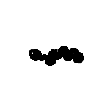 c1ccc2c(c1)ccc1c3cccc(Cn4ncc5c4CCCC5CCN4CCOCC4)c3ccc21